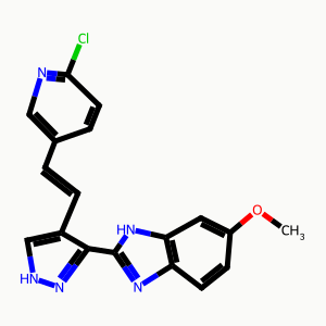 COc1ccc2nc(-c3n[nH]cc3/C=C/c3ccc(Cl)nc3)[nH]c2c1